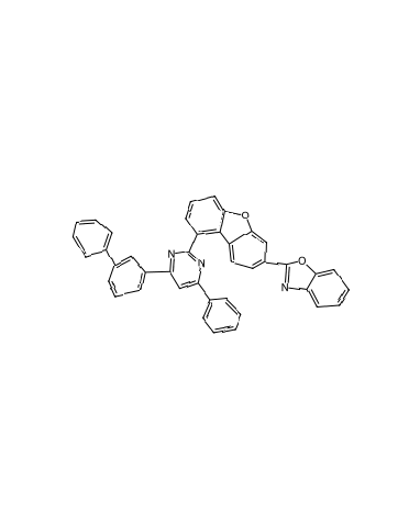 c1ccc(-c2cccc(-c3cc(-c4ccccc4)nc(-c4cccc5oc6cc(-c7nc8ccccc8o7)ccc6c45)n3)c2)cc1